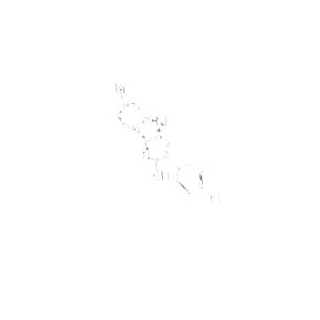 Cc1nc2c(cc1C1C=CC(Cl)=CC1)[nH]c1cc(Br)ccc12